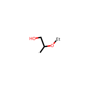 [CH2]C(CO)OCC